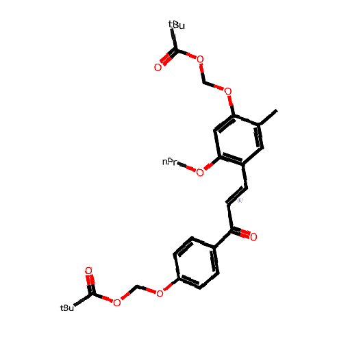 CCCOc1cc(OCOC(=O)C(C)(C)C)c(C)cc1/C=C/C(=O)c1ccc(OCOC(=O)C(C)(C)C)cc1